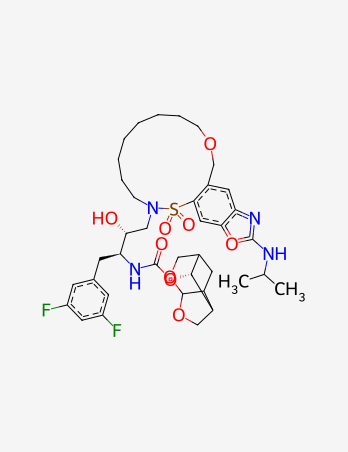 CC(C)Nc1nc2cc3c(cc2o1)S(=O)(=O)N(C[C@@H](O)[C@H](Cc1cc(F)cc(F)c1)NC(=O)O[C@@H]1C2COC4OCC1C4C2)CCCCCCCCOC3